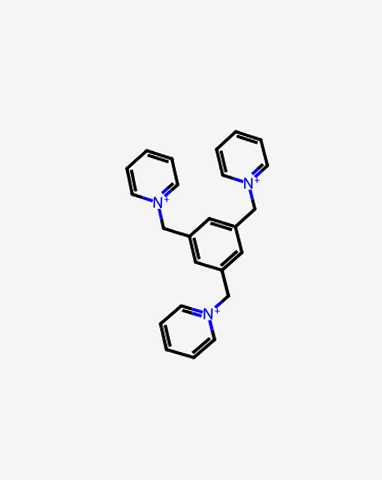 c1cc[n+](Cc2cc(C[n+]3ccccc3)cc(C[n+]3ccccc3)c2)cc1